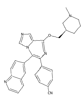 CN1CCC[C@@H](COc2nc(-c3ccc(C#N)cc3)c(-c3ccc4ncccc4c3)n3cncc23)C1